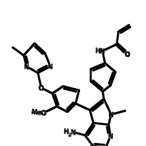 C=CC(=O)Nc1ccc(-c2c(-c3ccc(Oc4nccc(C)n4)c(OC)c3)c3c(N)ncnc3n2C)cc1